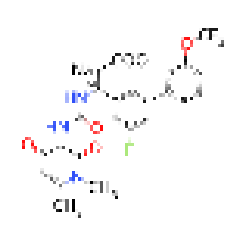 CC1=CC(=O)C(NC(=O)N[C@@H](CC(=O)[O-])c2cc(F)cc(-c3cccc(OC(F)(F)F)c3)c2)C(=O)N1C.[Na+]